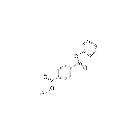 CCCOC(=O)c1ccc(C(=O)Oc2ccccc2)cc1